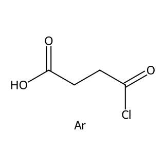 O=C(O)CCC(=O)Cl.[Ar]